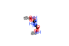 CC[C@H](C)NC(=O)O[C@@H]1CO[C@H](c2cnc(Nc3cncc(S(=O)(=O)NC(=O)OC(C)(C)C)c3)nc2)C1